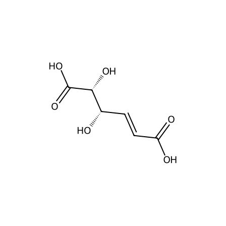 O=C(O)/C=C/[C@H](O)[C@@H](O)C(=O)O